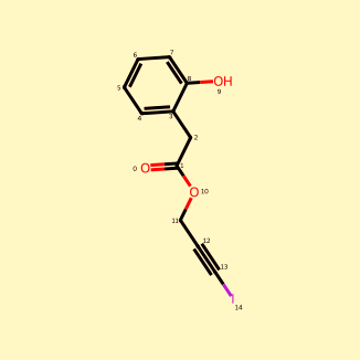 O=C(Cc1ccccc1O)OCC#CI